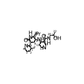 Cc1cccnc1-c1cc(Nc2ccncc2C(=O)NCC(C)O)c(C(C)C)[nH]c1=O